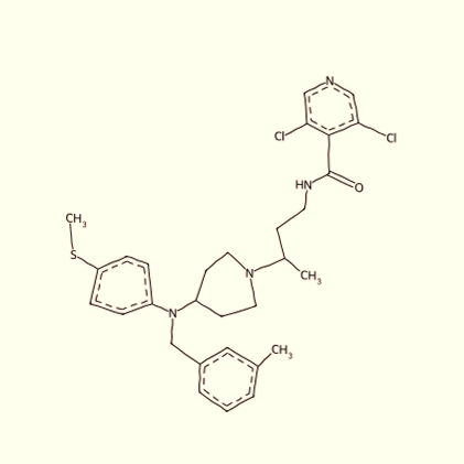 CSc1ccc(N(Cc2cccc(C)c2)C2CCN(C(C)CCNC(=O)c3c(Cl)cncc3Cl)CC2)cc1